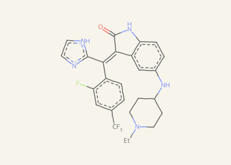 CCN1CCC(Nc2ccc3c(c2)C(=C(c2ncc[nH]2)c2ccc(C(F)(F)F)cc2F)C(=O)N3)CC1